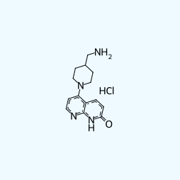 Cl.NCC1CCN(c2ccnc3[nH]c(=O)ccc23)CC1